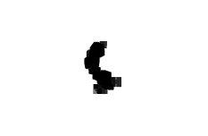 N#Cc1c[nH]c2ccc(CCCN3CCC(Oc4ccc(F)cc4)CC3)cc12